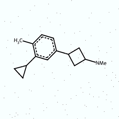 CNC1CC(c2ccc(C)c(C3CC3)c2)C1